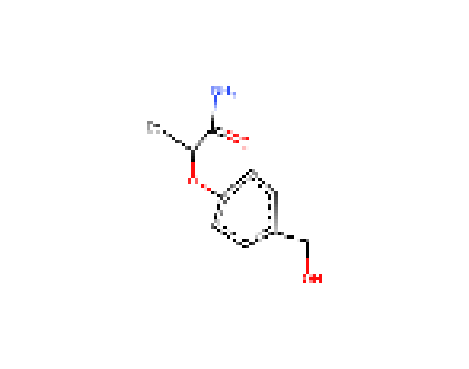 CCC(Oc1ccc(CO)cc1)C(N)=O